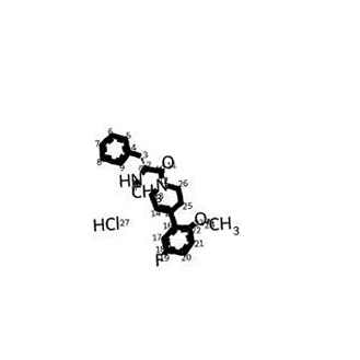 CN[C@H](Cc1ccccc1)C(=O)N1CC=C(c2cc(F)ccc2OC)CC1.Cl